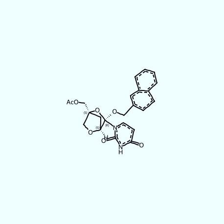 CC(=O)OC[C@@]12CO[C@@H](C1)[C@](OCc1ccc3ccccc3c1)(n1ccc(=O)[nH]c1=O)O2